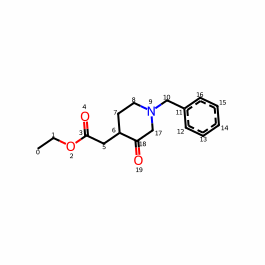 CCOC(=O)CC1CCN(Cc2ccccc2)CC1=O